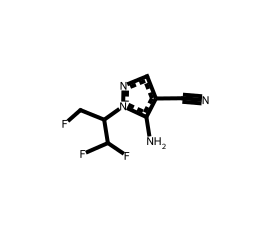 N#Cc1cnn(C(CF)C(F)F)c1N